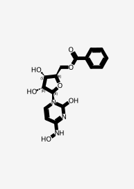 O=C(OC[C@H]1O[C@@H](N2C=CC(NO)=NC2O)[C@H](O)[C@@H]1O)c1ccccc1